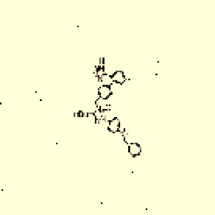 CCCCc1nn(-c2ccc(OCc3ccccc3)cc2)c(=O)n1Cc1ccc(-c2ccccc2-c2nnn[nH]2)cc1